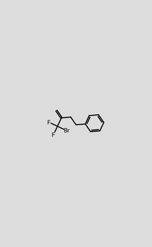 C=C(CCc1ccccc1)C(F)(F)Br